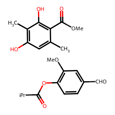 COC(=O)c1c(C)cc(O)c(C)c1O.COc1cc(C=O)ccc1OC(=O)C(C)C